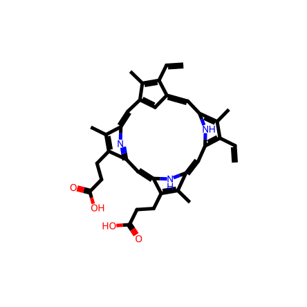 C=CC1=C(C)c2cc1cc1[nH]c(cc3[nH]c(cc4nc(c2)C(C)=C4CCC(=O)O)c(CCC(=O)O)c3C)c(C=C)c1C